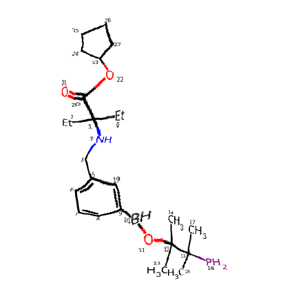 CCC(CC)(NCc1cccc(BOC(C)(C)C(C)(C)P)c1)C(=O)OC1CCCC1